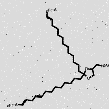 CCCCCC=CCC=CCCCCCCCCC1(CCCCCCCCC=CCC=CCCCCC)OCC(CNC)O1